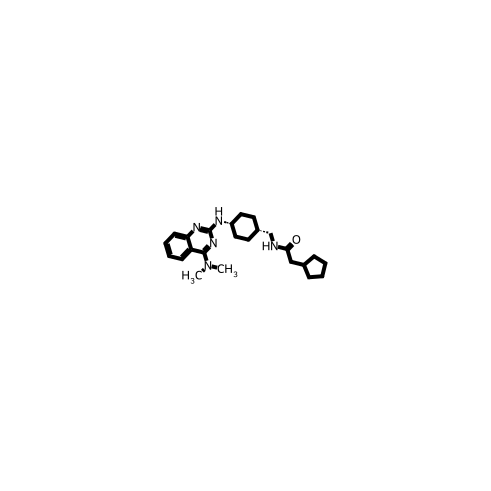 CN(C)c1nc(N[C@H]2CC[C@@H](CNC(=O)CC3CCCC3)CC2)nc2ccccc12